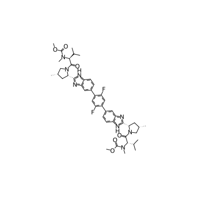 COC(=O)N(C)[C@H](C(=O)N1C[C@@H](C)C[C@H]1c1nc2cc(-c3cc(F)c(-c4ccc5[nH]c([C@@H]6C[C@H](C)CN6C(=O)[C@H](C(C)C)N(C)C(=O)OC)nc5c4)cc3F)ccc2[nH]1)C(C)C